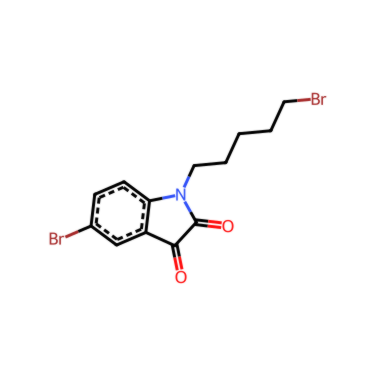 O=C1C(=O)N(CCCCCBr)c2ccc(Br)cc21